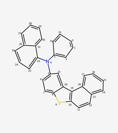 c1ccc(N(c2ccc3sc4ccc5ccccc5c4c3c2)c2cccc3ccccc23)cc1